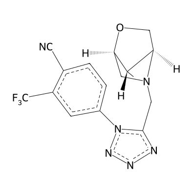 C[C@H]1[C@H]2CO[C@@H]1CN2Cc1nnnn1-c1ccc(C#N)c(C(F)(F)F)c1